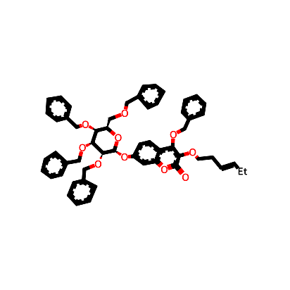 CC/C=C/CCOc1c(OCc2ccccc2)c2ccc(O[C@@H]3O[C@H](COCc4ccccc4)[C@H](OCc4ccccc4)[C@H](OCc4ccccc4)[C@H]3OCc3ccccc3)cc2oc1=O